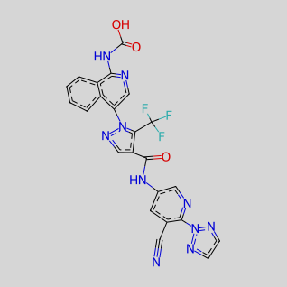 N#Cc1cc(NC(=O)c2cnn(-c3cnc(NC(=O)O)c4ccccc34)c2C(F)(F)F)cnc1-n1nccn1